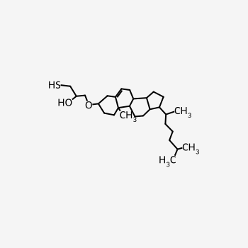 CC(C)CCCC(C)C1CCC2C1CCC1C2CC=C2CC(OCC(O)CS)CCC21C